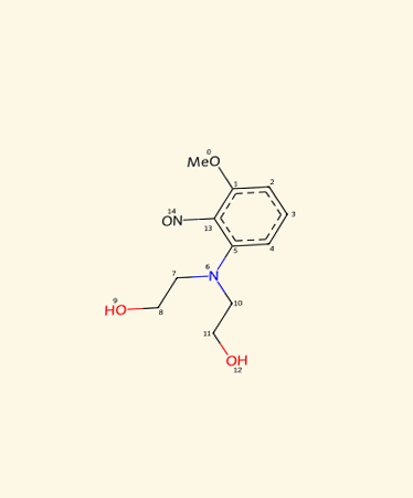 COc1cccc(N(CCO)CCO)c1N=O